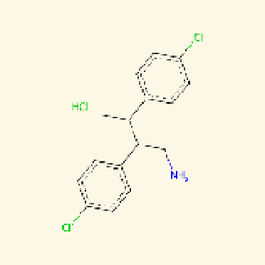 CC(c1ccc(Cl)cc1)C(CN)c1ccc(Cl)cc1.Cl